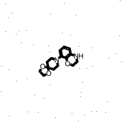 c1cc2c(c(N3CCC4(CC3)OCCO4)c1)OCCN2